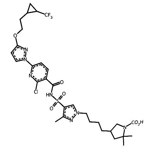 Cc1nn(CCCCC2CN(C(=O)O)C(C)(C)C2)cc1S(=O)(=O)NC(=O)c1ccc(-n2ccc(OCCC3CC3C(F)(F)F)n2)nc1Cl